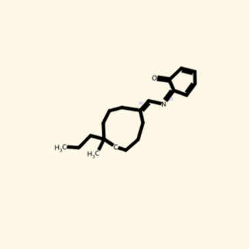 CCCC1(C)CCCC/C(=C\N=C2\C=CC=CC2=O)CCC1